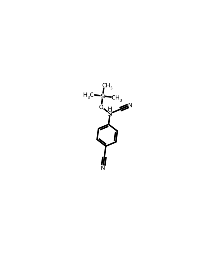 C[Si](C)(C)O[SiH](C#N)c1ccc(C#N)cc1